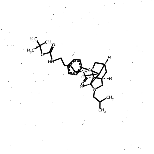 CC(C)CN1C[C@@H]2C[C@H]3CN[C@]2(C(=O)NCCCCNC(=O)OC(C)(C)C)[C@@H]1[C@@H]3Cc1ccccc1